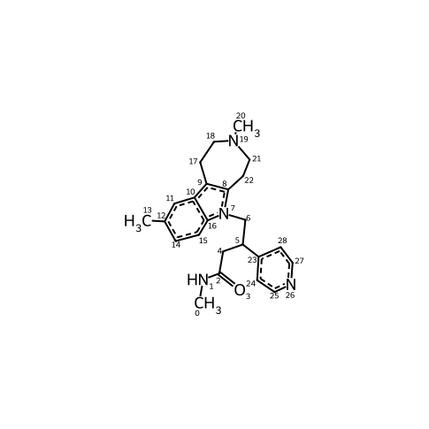 CNC(=O)CC(Cn1c2c(c3cc(C)ccc31)CCN(C)CC2)c1ccncc1